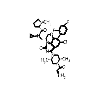 C=CC(=O)N1C[C@H](C)N(c2nc(=O)n3c4c(c(-c5ccc(F)cc5F)c(Cl)cc24)OC[C@H]3CN(C(=O)[C@@H]2CCCN2C)C2CC2)C[C@H]1C